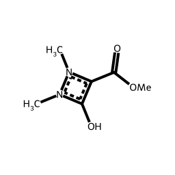 COC(=O)c1c(O)n(C)n1C